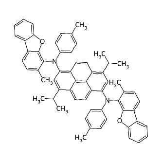 Cc1ccc(N(c2cc(C(C)C)c3ccc4c(N(c5ccc(C)cc5)c5c(C)ccc6c5oc5ccccc56)cc(C(C)C)c5ccc2c3c54)c2c(C)ccc3c2oc2ccccc23)cc1